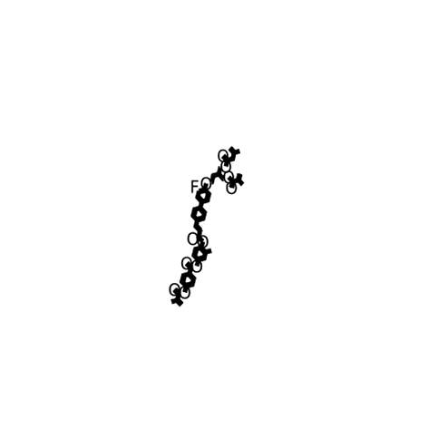 C=C(C)CC(=O)OCC(CCOc1ccc(-c2ccc(/C=C/C(=O)Oc3ccc(OC(=O)c4ccc(OC(=O)C(=C)C)cc4)cc3C)cc2)cc1F)COC(=O)C(=C)C